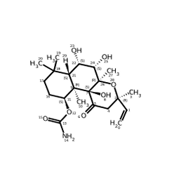 C=C[C@@]1(C)CC(=O)[C@]2(O)[C@@]3(C)[C@@H](OC(N)=O)CCC(C)(C)[C@@H]3[C@H](O)[C@H](O)[C@@]2(C)O1